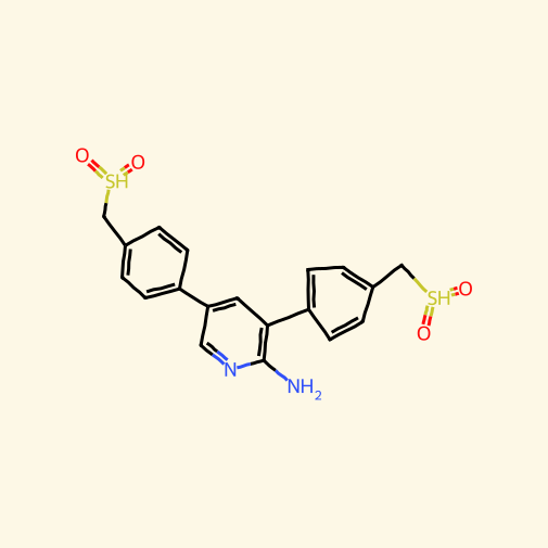 Nc1ncc(-c2ccc(C[SH](=O)=O)cc2)cc1-c1ccc(C[SH](=O)=O)cc1